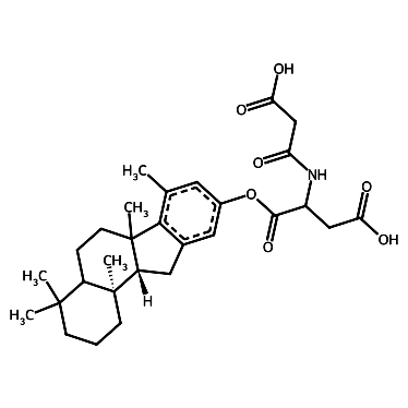 Cc1cc(OC(=O)C(CC(=O)O)NC(=O)CC(=O)O)cc2c1C1(C)CCC3C(C)(C)CCC[C@]3(C)[C@H]1C2